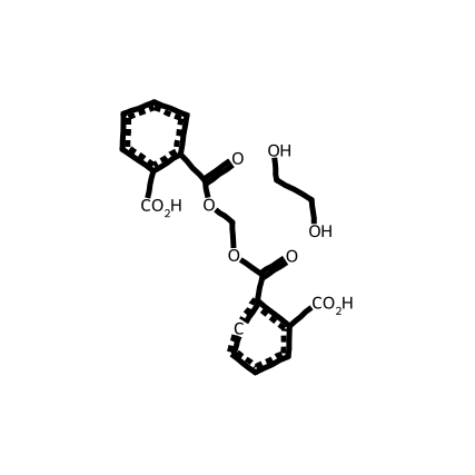 O=C(O)c1ccccc1C(=O)OCOC(=O)c1ccccc1C(=O)O.OCCO